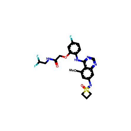 COc1cc(N=S2(=O)CCC2)cc2ncnc(Nc3ccc(F)cc3OCC(=O)NCC(F)F)c12